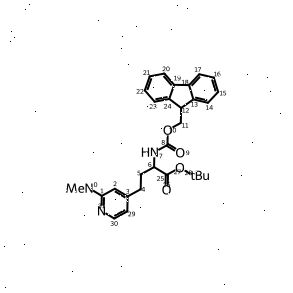 CNc1cc(CCC(NC(=O)OCC2c3ccccc3-c3ccccc32)C(=O)OC(C)(C)C)ccn1